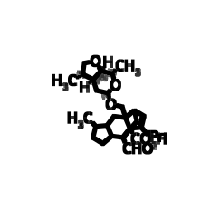 CC(C)C1=CC2CC3(C=O)C4CCC(C)C4CC2(CO[C@H]2C[C@H]4[C@H](OC[C@H]4C)[C@@H](C)O2)C13C(=O)O